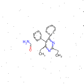 CCc1nc(CC)c(-c2ccccc2)c(-c2ccccc2)n1.NC=O